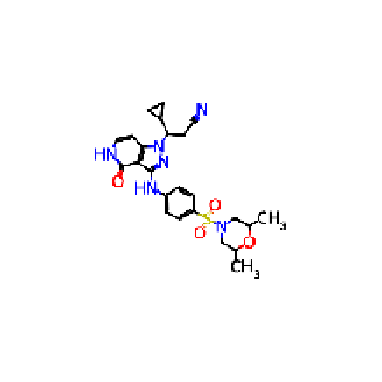 CC1CN(S(=O)(=O)c2ccc(Nc3nn(C(CC#N)C4CC4)c4cc[nH]c(=O)c34)cc2)CC(C)O1